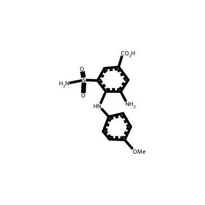 COc1ccc(Nc2c(N)cc(C(=O)O)cc2S(N)(=O)=O)cc1